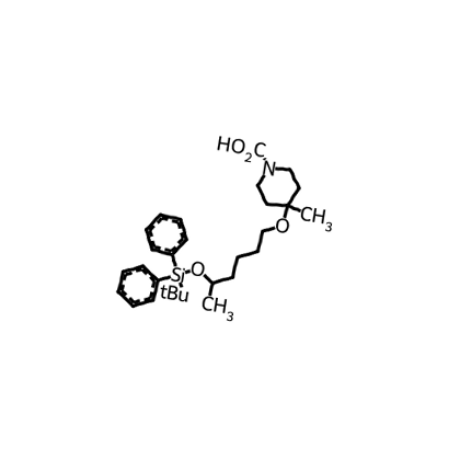 CC(CCCCOC1(C)CCN(C(=O)O)CC1)O[Si](c1ccccc1)(c1ccccc1)C(C)(C)C